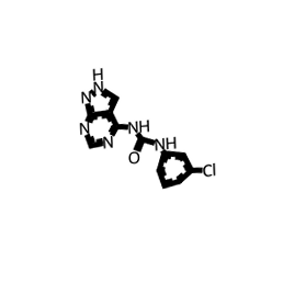 O=C(Nc1cccc(Cl)c1)Nc1ncnc2n[nH]cc12